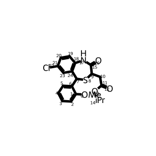 COc1ccccc1C1SC(CC(=O)OC(C)C)C(=O)Nc2ccc(Cl)cc21